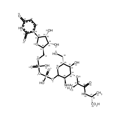 CC(=O)N[C@H]1C(OP(=O)(O)OP(=O)(O)OC[C@H]2O[C@@H](n3ccc(=O)[nH]c3=O)[C@H](O)[C@@H]2O)O[C@H](CO)[C@@H](O)[C@@H]1O[C@H](C)C(=O)N[C@H](C)C(=O)O